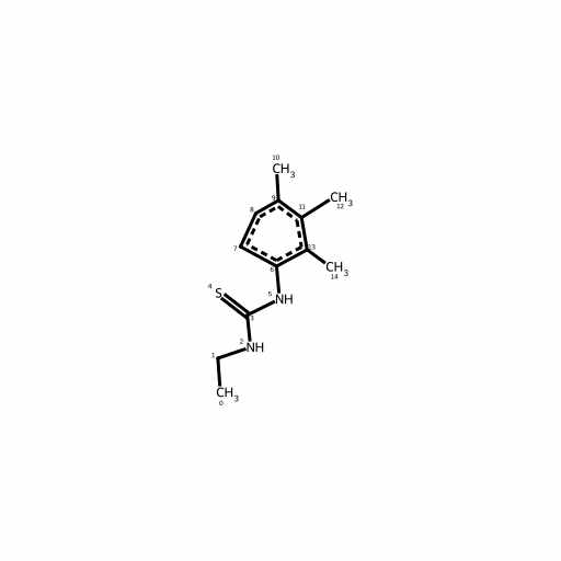 CCNC(=S)Nc1ccc(C)c(C)c1C